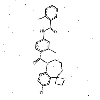 Cc1ccccc1C(=O)Nc1ccc(C(=O)N2CCCC3(CCO3)c3cc(Cl)ccc32)c(C)c1